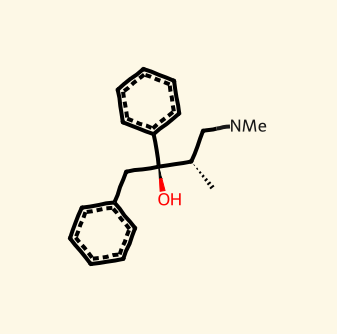 CNC[C@H](C)[C@](O)(Cc1ccccc1)c1ccccc1